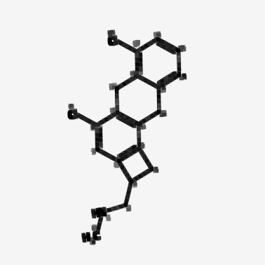 CNCC1Cc2c1cc(Cl)c1c2Cc2cccc(Cl)c2C1